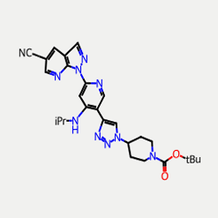 CC(C)Nc1cc(-n2ncc3cc(C#N)cnc32)ncc1-c1cn(C2CCN(C(=O)OC(C)(C)C)CC2)nn1